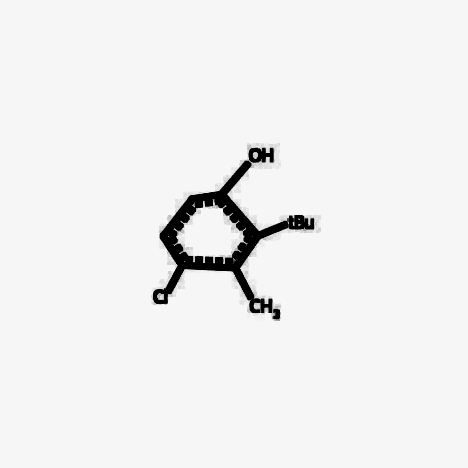 Cc1c(Cl)ccc(O)c1C(C)(C)C